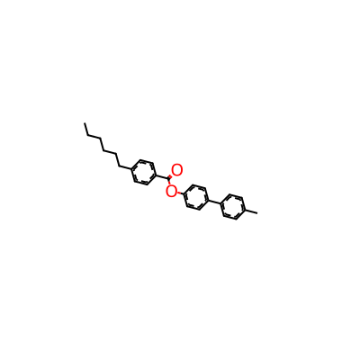 CCCCCCc1ccc(C(=O)Oc2ccc(-c3ccc(C)cc3)cc2)cc1